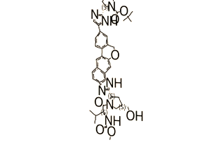 COC(=O)N[C@H](C(=O)N1C[C@@H](CO)C[C@H]1c1nc2ccc3cc4c(cc3c2[nH]1)OCc1cc(-c2cnc([C@@H]3CCCN3C(=O)OC(C)(C)C)[nH]2)ccc1-4)C(C)C